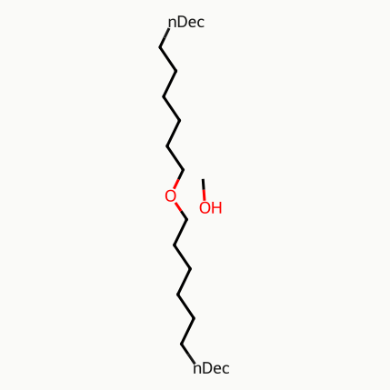 CCCCCCCCCCCCCCCCOCCCCCCCCCCCCCCCC.CO